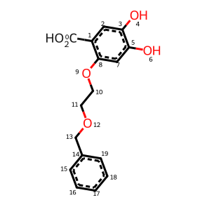 O=C(O)c1cc(O)c(O)cc1OCCOCc1ccccc1